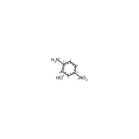 Cl.Nc1ccc([N+](=O)[O-])cn1